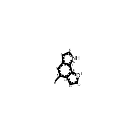 Cc1cc2cc[nH]c2c2occc12